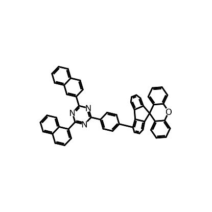 c1ccc2c(c1)Oc1ccccc1C21c2ccccc2-c2c(-c3ccc(-c4nc(-c5ccc6ccccc6c5)nc(-c5cccc6ccccc56)n4)cc3)cccc21